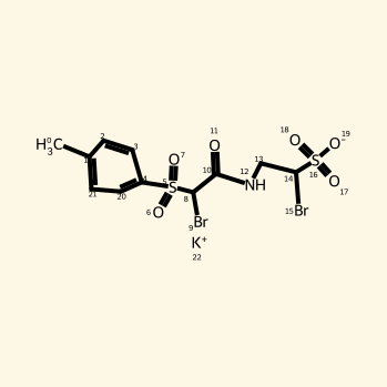 Cc1ccc(S(=O)(=O)C(Br)C(=O)NCC(Br)S(=O)(=O)[O-])cc1.[K+]